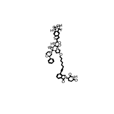 CC(C)(C)C(NC(=O)c1cc2cc(C(F)(F)P(=O)(O)O)ccc2s1)C(=O)N1C[C@@H](OCCCCCCC#Cc2cccc3c2CN(C2CCC(=O)NC2=O)C3=O)C[C@H]1C(=O)N1CCO[C@H](c2ccccc2)C1